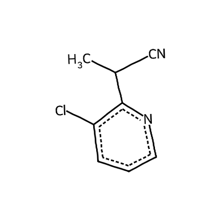 CC(C#N)c1ncccc1Cl